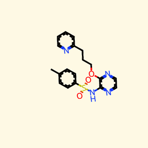 Cc1ccc(S(=O)(=O)Nc2nccnc2OCCCc2ccccn2)cc1